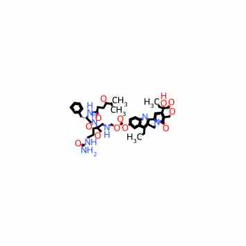 CCc1c2c(nc3ccc(OC(=O)OCNCC(C=O)(CCCNC(N)=O)NC(=O)[C@H](Cc4ccccc4)NC(=O)CCC(=O)C(C)C)cc13)-c1cc3c(c(=O)n1C2)COC(=O)[C@]3(O)CC